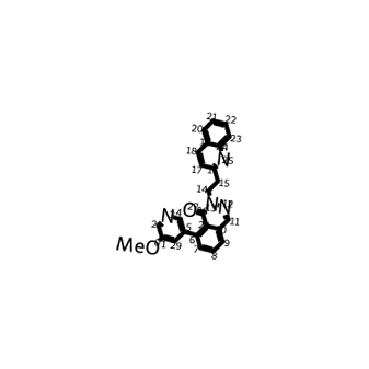 COc1cncc(-c2cccc3cnn(CCc4ccc5ccccc5n4)c(=O)c23)c1